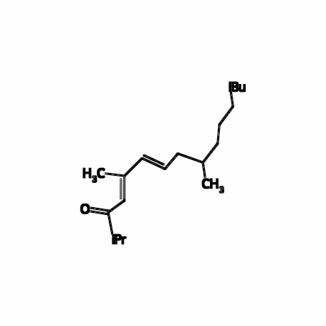 CCC(C)CCCC(C)CC=CC(C)=CC(=O)C(C)C